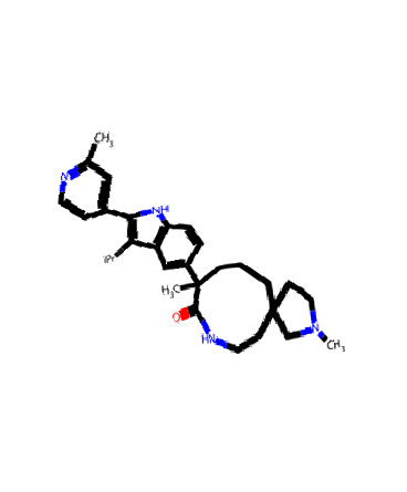 Cc1cc(-c2[nH]c3ccc(C4(C)CCCC5(CCNC4=O)CCN(C)C5)cc3c2C(C)C)ccn1